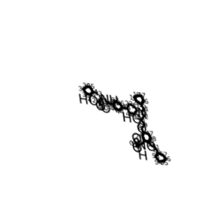 CS(=O)(=O)Nc1cc(OC[C@@H](O)CN(Cc2ccccc2)C2CCC(c3ccc(C(=O)N[C@@H](Cc4ccccc4)C(=O)O)cc3)CC2)ccc1OCc1ccccc1